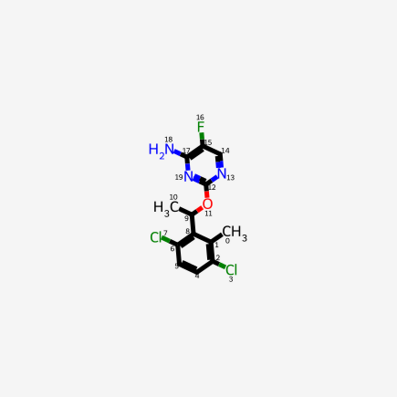 Cc1c(Cl)ccc(Cl)c1C(C)Oc1ncc(F)c(N)n1